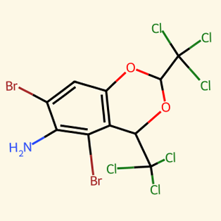 Nc1c(Br)cc2c(c1Br)C(C(Cl)(Cl)Cl)OC(C(Cl)(Cl)Cl)O2